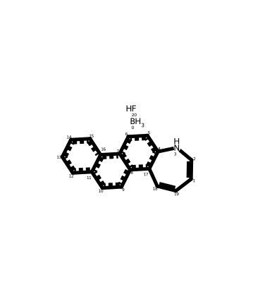 B.C1=CNc2ccc3c(ccc4ccccc43)c2C=C1.F